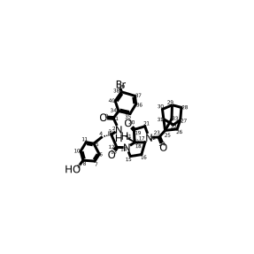 O=C(N[C@@H](Cc1ccc(O)cc1)C(=O)N1CCC2[C@H]1C(=O)CN2C(=O)C12CC3CC(CC1C3)C2)c1cccc(Br)c1